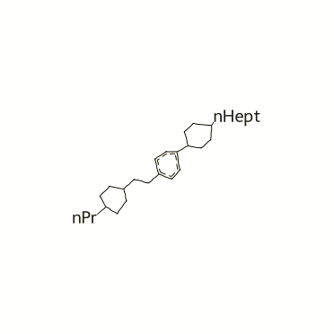 CCCCCCCC1CCC(c2ccc(CCC3CCC(CCC)CC3)cc2)CC1